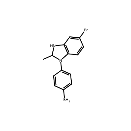 Bc1ccc(N2c3ccc(Br)cc3NC2C)cc1